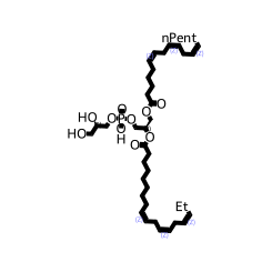 CC/C=C\C/C=C\C/C=C\CCCCCCCC(=O)O[C@H](COC(=O)CCCC/C=C\C/C=C\C/C=C\CCCCC)COP(=O)(O)OC[C@@H](O)CO